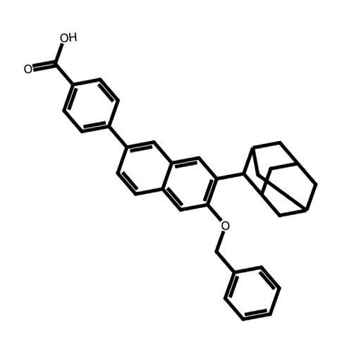 O=C(O)c1ccc(-c2ccc3cc(OCc4ccccc4)c(C4C5CC6CC(C5)CC4C6)cc3c2)cc1